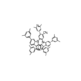 Cc1cc(C)cc(-c2ccc3c4ccc(-c5cc(C)cc(C)c5)cc4n(-c4cc(C#N)c(-c5cc(C)nc(C)c5)cc4-n4c5cc(-c6cc(C)cc(C)c6)ccc5c5ccc(-c6cc(C)cc(C)c6)cc54)c3c2)c1